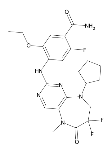 CCOc1cc(C(N)=O)c(F)cc1Nc1ncc2c(n1)N(C1CCCC1)CC(F)(F)C(=O)N2C